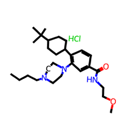 CCCCN1CCN(c2cc(C(=O)NCCOC)ccc2C2CCC(C(C)(C)C)CC2)CC1.Cl